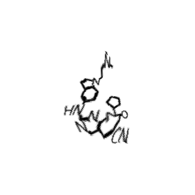 CN(C)CCn1ccc2cc(Nc3ncc4cc(C#N)c(=O)n(C5CCCC5)c4n3)ccc21